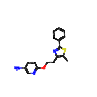 Cc1sc(-c2ccccc2)nc1CCOc1ccc(N)cn1